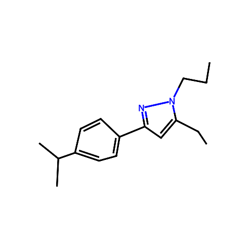 CCCn1nc(-c2ccc(C(C)C)cc2)cc1CC